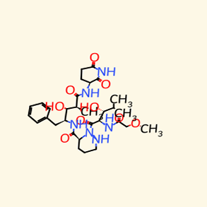 COCC(=O)N[C@@H](C(=O)N1NCCC[C@H]1C(=O)N[C@@H](Cc1ccccc1)[C@@H](O)[C@H](C)C(=O)N[C@H]1CCC(=O)NC1=O)[C@H](O)C(C)C